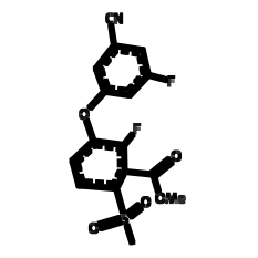 COC(=O)c1c(S(C)(=O)=O)ccc(Oc2cc(F)cc(C#N)c2)c1F